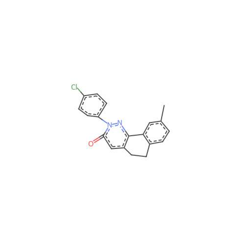 Cc1ccc2c(c1)-c1nn(-c3ccc(Cl)cc3)c(=O)cc1CC2